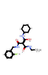 O=C(O)CNC(=O)/C(C(=O)NCc1ccccc1F)=C(\O)NC1CCCCC1